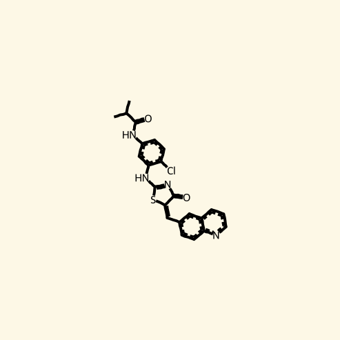 CC(C)C(=O)Nc1ccc(Cl)c(NC2=NC(=O)C(=Cc3ccc4ncccc4c3)S2)c1